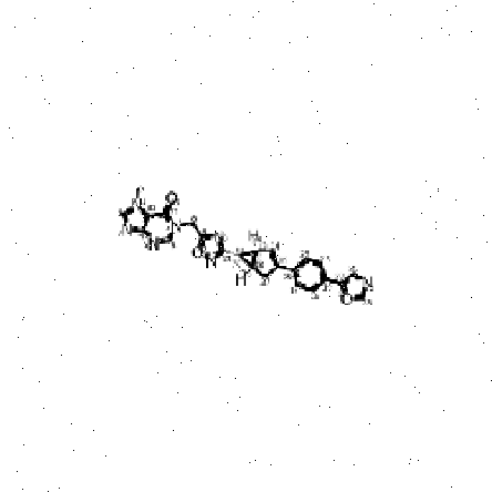 Cn1cnc2ncn(Cc3nc([C@@H]4[C@H]5C=C(c6ccc(-c7cnco7)cc6)C[C@H]54)no3)c(=O)c21